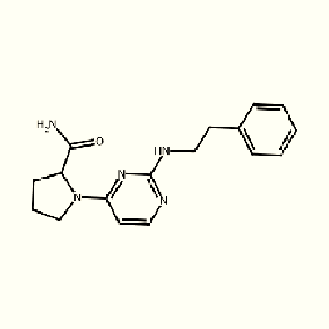 NC(=O)C1CCCN1c1ccnc(NCCc2ccccc2)n1